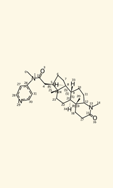 CN(C(=O)C[C@H]1CC[C@H]2[C@@H]3CCC4N(C)C(=O)CC[C@]4(C)[C@H]3CC[C@]12C)c1ccncc1